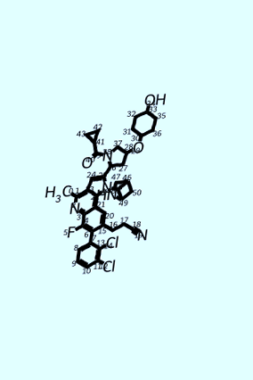 Cc1nc2c(F)c(-c3cccc(Cl)c3Cl)c(CCC#N)cc2c2c1cc(C1CC(OC3CCC(O)CC3)CN1C(=O)C1CC1)n2C1C2CNC1C2